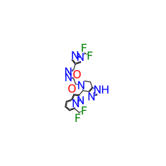 O=C(c1nnc(-c2cnn(C(F)F)c2)o1)N1CCc2[nH]cnc2C1c1cc2cccc(C(F)F)n2n1